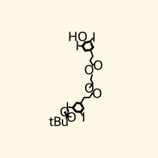 CC(C)(C)C(=O)Oc1c(I)cc(CCC(=O)OCCCOC(=O)CCc2cc(I)c(O)c(I)c2)cc1I